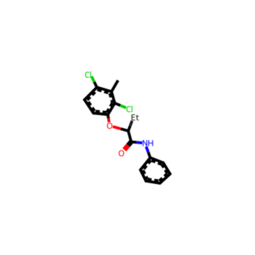 CCC(Oc1ccc(Cl)c(C)c1Cl)C(=O)Nc1ccccc1